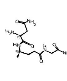 C[C@H](CCC(=O)NCC(N)=O)NC(=O)[C@@H](N)CC(N)=O